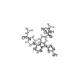 CC(C)c1nnc(-n2c3cc(S(=O)(=O)NC4(C#N)CC4)ccc3c3c(N4CCN(C(=O)C5CC5)CC4)ncnc32)s1